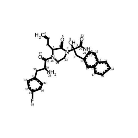 C=CCC1C(=O)N(C(C)(Cc2ccc3ccccc3c2)C(N)=O)CCN1C(=O)C(N)Cc1ccc(F)cc1